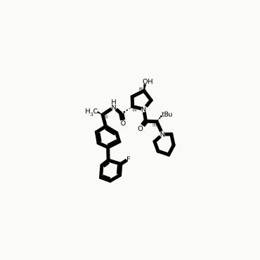 C[C@H](NC(=O)[C@@H]1C[C@@H](O)CN1C(=O)[C@@H](N1CCCCC1)C(C)(C)C)c1ccc(-c2ccccc2F)cc1